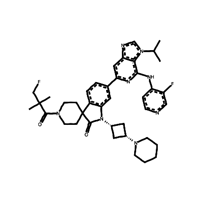 CC(C)n1cnc2cc(-c3ccc4c(c3)N([C@H]3C[C@@H](N5CCCCC5)C3)C(=O)C43CCN(C(=O)C(C)(C)CF)CC3)nc(Nc3ccncc3F)c21